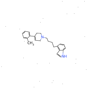 Cc1ccccc1C1=CCN(CCCCc2cccc3[nH]ccc23)CC1